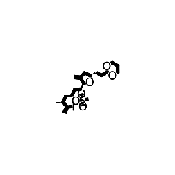 C=C(I)[C@H](C)C[C@@H](CC[C@@H]1O[C@@H](CCC2OCCCO2)CC1=C)OS(C)(=O)=O